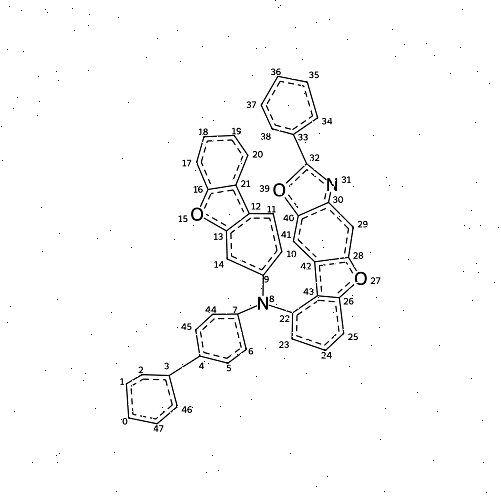 c1ccc(-c2ccc(N(c3ccc4c(c3)oc3ccccc34)c3cccc4oc5cc6nc(-c7ccccc7)oc6cc5c34)cc2)cc1